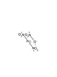 O=[N+]([O-])[O-].O=[N+]([O-])[Pt+][N+](=O)[O-]